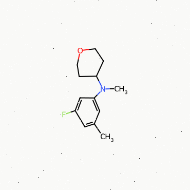 Cc1cc(F)cc(N(C)C2CCOCC2)c1